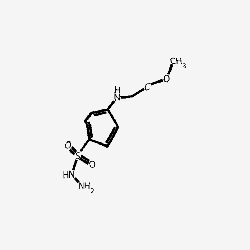 COCCNc1ccc(S(=O)(=O)NN)cc1